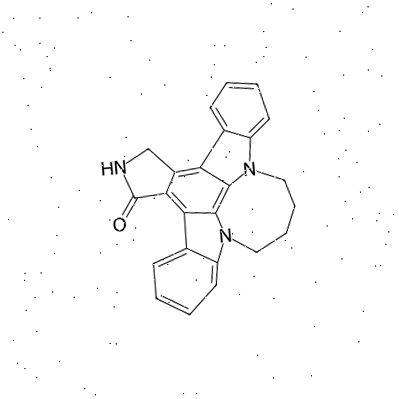 O=C1NCc2c1c1c3ccccc3n3c1c1c2c2ccccc2n1CCCC3